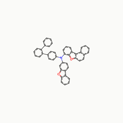 c1ccc(-c2ccccc2-c2ccc(N(c3ccc4c(c3)oc3ccccc34)c3cccc4c3oc3ccc5ccccc5c34)cc2)cc1